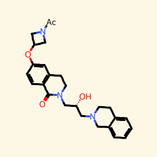 CC(=O)N1CC(Oc2ccc3c(c2)CCN(C[C@H](O)CN2CCc4ccccc4C2)C3=O)C1